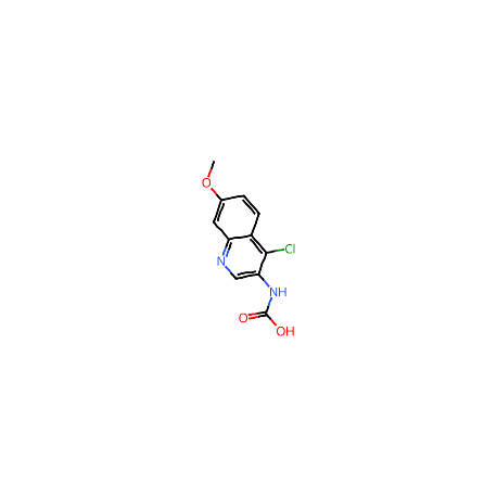 COc1ccc2c(Cl)c(NC(=O)O)cnc2c1